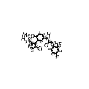 COc1ccc(NC(=O)Nc2ccc(F)cc2F)cc1-c1c(Cl)cnn1C